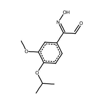 COc1cc(C(C=O)=NO)ccc1OC(C)C